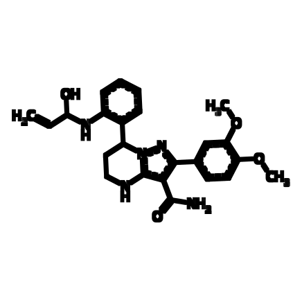 C=CC(O)Nc1ccccc1C1CCNc2c(C(N)=O)c(-c3ccc(OC)c(OC)c3)nn21